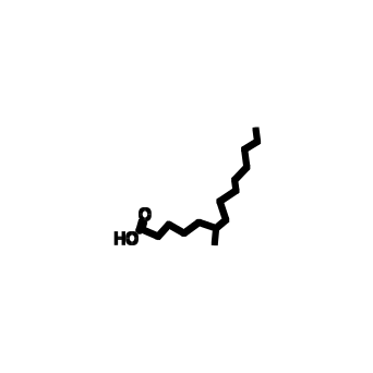 CCCCCCCCC(C)CCCCC(=O)O